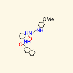 COc1ccc(NCCNC(=O)[C@@H]2CCCC[C@@H]2NC(=O)c2ccc3ccccc3c2)cc1